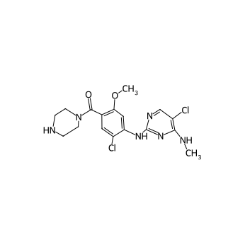 CNc1nc(Nc2cc(OC)c(C(=O)N3CCNCC3)cc2Cl)ncc1Cl